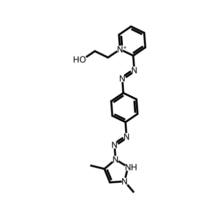 CC1=CN(C)NN1N=Nc1ccc(N=Nc2cccc[n+]2CCO)cc1